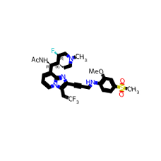 COc1cc(S(C)(=O)=O)ccc1NCC#Cc1nc2c([C@H](NC(C)=O)[C@H]3CCN(C)C[C@@H]3F)cccn2c1CC(F)(F)F